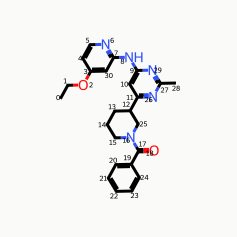 CCOc1ccnc(Nc2cc(C3CCCN(C(=O)c4ccccc4)C3)nc(C)n2)c1